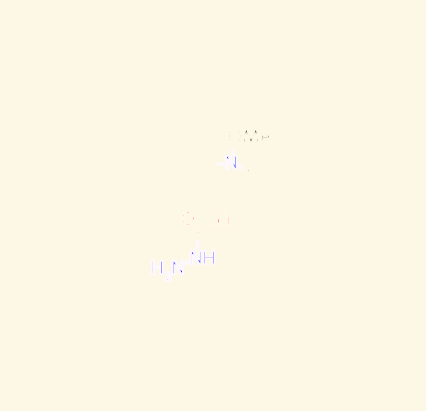 CON1C(C)(C)CC(OC(=O)NN)CC1(C)C